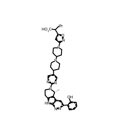 CC(C)C(C(=O)O)c1cc(N2CCC(N3CCC(c4cnc(N5CCc6[nH]c7nnc(-c8ccccc8O)cc7c6[C@H]5C)nc4)CC3)CC2)no1